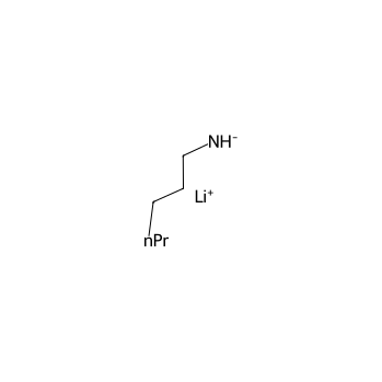 CCCCCC[NH-].[Li+]